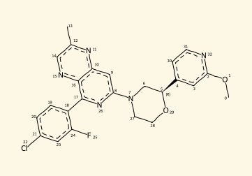 COc1cc([C@@H]2CN(c3cc4nc(C)cnc4c(-c4ccc(Cl)cc4F)n3)CCO2)ccn1